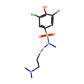 CN(C)CCCCN(C)S(=O)(=O)c1cc(Br)c(O)c(Br)c1